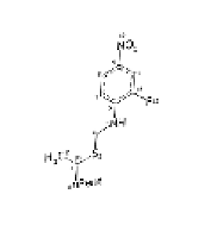 CCCCC[C@@H](C)SCNc1ccc([N+](=O)[O-])cc1F